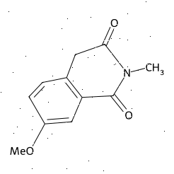 COc1ccc2c(c1)C(=O)N(C)C(=O)C2